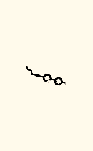 CCCCC#Cc1ccc(-c2ccc(F)cc2)nc1